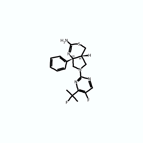 CC(C)(F)c1nc(N2C[C@H]3CSC(N)=N[C@@]3(c3ccccc3)C2)ncc1F